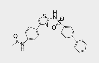 CC(=O)Nc1ccc(-c2csc(NS(=O)(=O)c3ccc(-c4ccccc4)cc3)n2)cc1